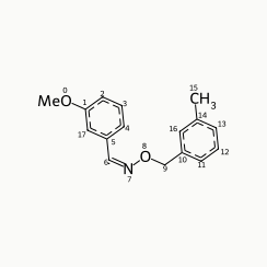 COc1cccc(/[C]=N\OCc2cccc(C)c2)c1